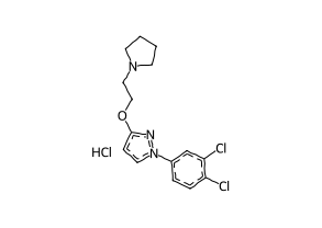 Cl.Clc1ccc(-n2ccc(OCCN3CCCC3)n2)cc1Cl